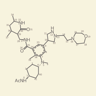 CC(=O)N[C@H]1CC[C@H](N(C)c2cc(C3CNN(CCN4CCOCC4)C3)cc(C(=O)NCC3C(=O)NC(C)CC3C)c2C)CC1